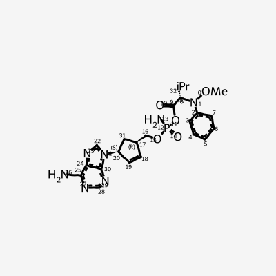 CON(c1ccccc1)[C@H](C(=O)OP(N)(=O)OC[C@H]1C=C[C@@H](n2cnc3c(N)ncnc32)C1)C(C)C